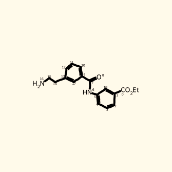 CCOC(=O)c1cccc(NC(=O)c2cccc(CCN)c2)c1